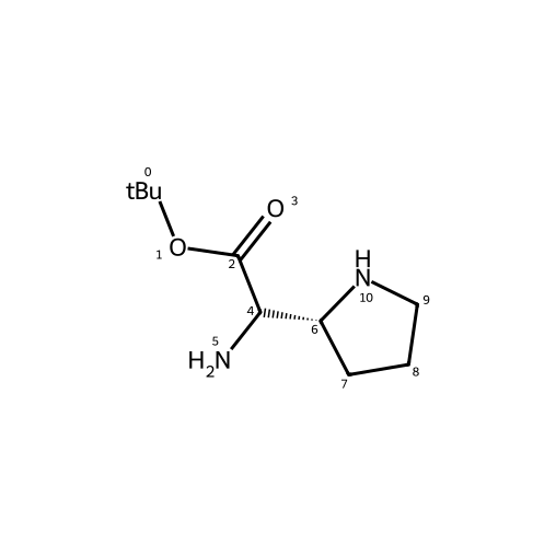 CC(C)(C)OC(=O)C(N)[C@H]1CCCN1